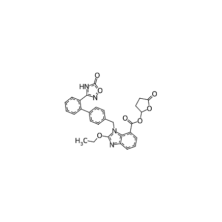 CCOc1nc2cccc(C(=O)OC3CCC(=O)O3)c2n1Cc1ccc(-c2ccccc2-c2noc(=O)[nH]2)cc1